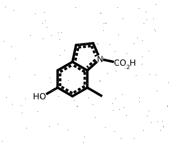 Cc1cc(O)cc2ccn(C(=O)O)c12